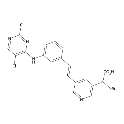 CC(C)(C)N(C(=O)O)c1cncc(C=Cc2cccc(Nc3nc(Cl)ncc3Cl)c2)c1